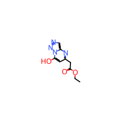 CCOC(=O)Cc1cc(O)n2nncc2n1